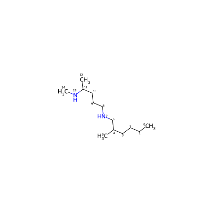 CCCCC(C)CNCCCC(C)NC